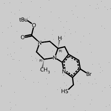 C[C@@H]1CN(C(=O)OC(C)(C)C)C[C@H]2Cc3cc(Br)c(CS)nc3N21